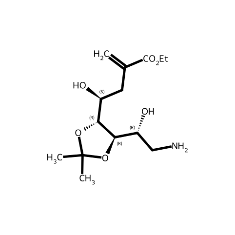 C=C(C[C@H](O)[C@H]1OC(C)(C)O[C@@H]1[C@H](O)CN)C(=O)OCC